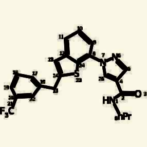 CCCNC(=O)c1cnn(-c2cccc3cc(Cc4cccc(C(F)(F)F)c4)sc23)c1